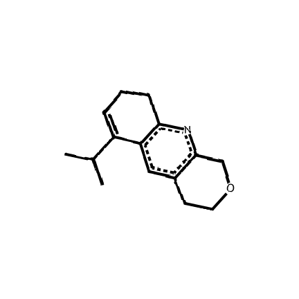 CC(C)C1=CCCc2nc3c(cc21)CCOC3